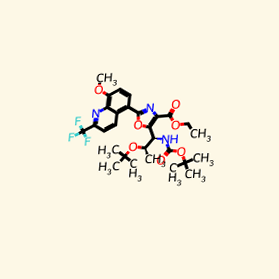 CCOC(=O)c1nc(-c2ccc(OC)c3nc(C(F)(F)F)ccc23)oc1[C@@H](NC(=O)OC(C)(C)C)[C@@H](C)OC(C)(C)C